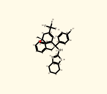 C[C@]1(F)C=C([C@@](Cc2ccccc2)(Nc2nc3c(s2)CCCC3)c2ccc(F)cc2)C=C(C(F)(F)F)C1